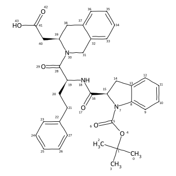 CC(C)(C)OC(=O)N1c2ccccc2C[C@@H]1C(=O)N[C@@H](CCc1ccccc1)C(=O)N1Cc2ccccc2C[C@@H]1CC(=O)O